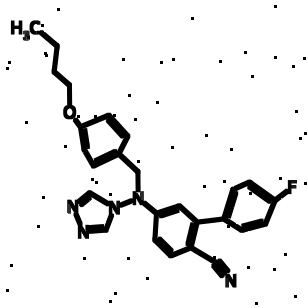 CCCCOc1ccc(CN(c2ccc(C#N)c(-c3ccc(F)cc3)c2)n2cnnc2)cc1